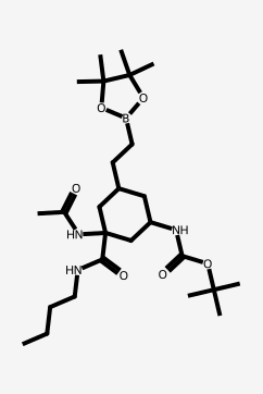 CCCCNC(=O)C1(NC(C)=O)CC(CCB2OC(C)(C)C(C)(C)O2)CC(NC(=O)OC(C)(C)C)C1